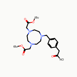 CC(C)(C)OC(=O)CN1CCN(CC(=O)OC(C)(C)C)CCN(Cc2ccc(CC(=O)N=O)cc2)CC1